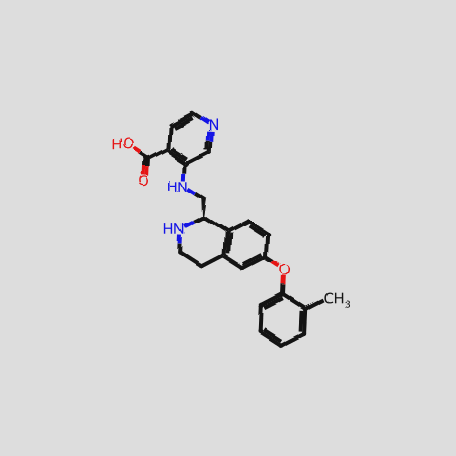 Cc1ccccc1Oc1ccc2c(c1)CCN[C@H]2CNc1cnccc1C(=O)O